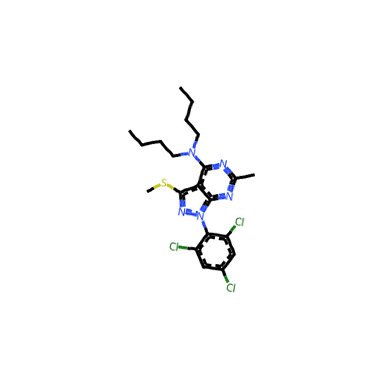 CCCCN(CCCC)c1nc(C)nc2c1c(SC)nn2-c1c(Cl)cc(Cl)cc1Cl